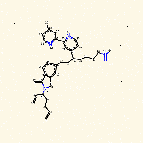 C=CCCC(C=C)N1Cc2cc(CCC(CCCCNC)c3ccnc(-c4cc(C)ccn4)c3)ccc2C1=C